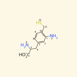 Nc1cc(CC(N)C(=O)O)ccc1CS